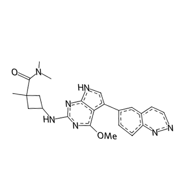 COc1nc(NC2CC(C)(C(=O)N(C)C)C2)nc2[nH]cc(-c3ccc4nnccc4c3)c12